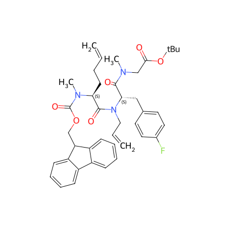 C=CCC[C@@H](C(=O)N(CC=C)[C@@H](Cc1ccc(F)cc1)C(=O)N(C)CC(=O)OC(C)(C)C)N(C)C(=O)OCC1c2ccccc2-c2ccccc21